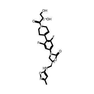 Cc1cc(NC[C@H]2CN(c3cc(F)c(C4=CCN(C(=O)[C@@H](O)CO)CC4)c(F)c3)C(=O)O2)on1